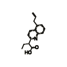 C=CCc1cccc2nc(C(CC)C(=O)O)ccc12